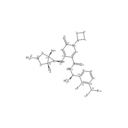 C[C@@H](NC(=O)c1cn(C2CCC2)c(=O)cc1N[C@H]1[C@@H]2CN(C)C[C@@H]21)c1cccc(C(F)F)c1F